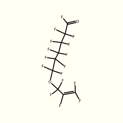 O=C(F)C(F)(F)C(F)(F)C(F)(F)C(F)(F)C(F)(F)OC(F)(F)C(F)=C(F)F